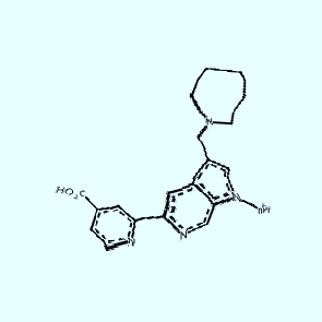 CCCn1cc(CN2CCCCC2)c2cc(-c3cc(C(=O)O)ccn3)ncc21